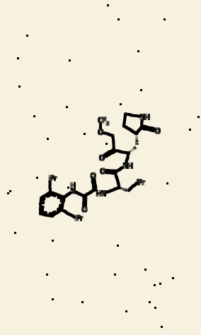 CC(C)C[C@H](NC(=O)C(=O)Nc1c(C(C)C)cccc1C(C)C)C(=O)N[C@@H](C[C@@H]1CCNC1=O)C(=O)COC(F)(F)F